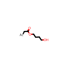 CC(=O)CC(=O)OCCCCO